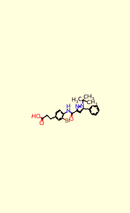 CC(C)(C)n1nc(C(=O)Nc2ccc(CCC(=O)O)cc2Br)cc1-c1ccccc1